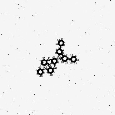 c1ccc(-c2ccc3c(c2)c2cc(-c4ccccc4)ccc2n3-c2cc3c4c(c2)Sc2cccc5c2B4c2c(cccc2N5c2ccccc2)S3)cc1